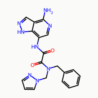 Nc1ncc(NC(=O)C(=O)N(Cc2ccccc2)Cn2cccn2)c2[nH]ncc12